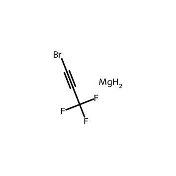 FC(F)(F)C#CBr.[MgH2]